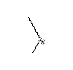 CCCCCCCCCCCCCCCOC(OCCOCCOCC)C(=O)O